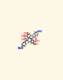 [N-]=[N+]=Nc1ccc(C(=O)N2Cc3cc(O)c(O)cc3C3(C2)CN(C(O)c2ccc(N=[N+]=[N-])cc2)Cc2cc(O)c(O)cc23)cc1